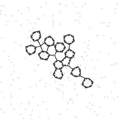 c1ccc(-c2ccc(-n3c4ccc(-c5ccccc5)cc4c4c(N(c5ccccc5)c5cccc6c5-c5ccccc5C6(c5ccccc5)c5ccccc5)cc5ccccc5c43)cc2)cc1